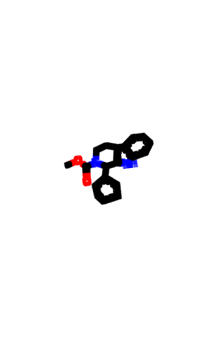 COC(=O)N1CCc2c([nH]c3ccccc23)C1c1ccccc1